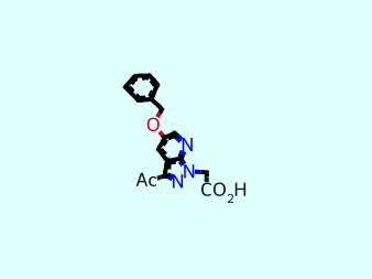 CC(=O)c1nn(CC(=O)O)c2ncc(OCc3ccccc3)cc12